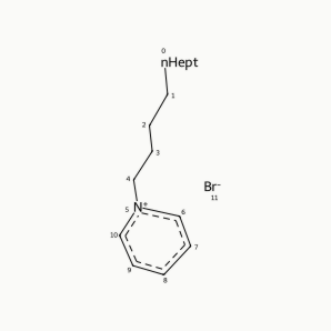 CCCCCCCCCCC[n+]1ccccc1.[Br-]